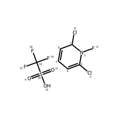 FN1C(Cl)=CC=CC1Cl.O=S(=O)(O)C(F)(F)F